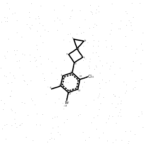 Cc1cc(C2CC3(CC3)C2)c(Cl)cc1Br